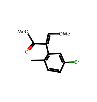 CO/C=C(/C(=O)OC)c1cc(Br)ccc1C